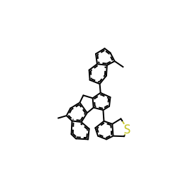 Cc1cccc2ccc(-c3ccc(-c4cccc5c4CSC5)c4c3Cc3cc(C)c5ccccc5c3-4)cc12